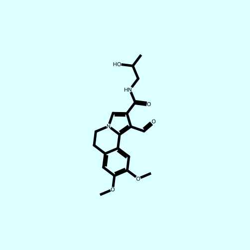 COc1cc2c(cc1OC)-c1c(C=O)c(C(=O)NCC(C)O)cn1CC2